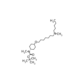 CCCCCN(C)CCCCCCCO[C@H]1CC[C@H](N(C)C(=O)OC(C)(C)C)CC1